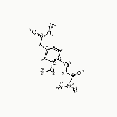 CCCOC(=O)Cc1ccc(OCC(=O)N(CC)CCC)c(OCC)c1